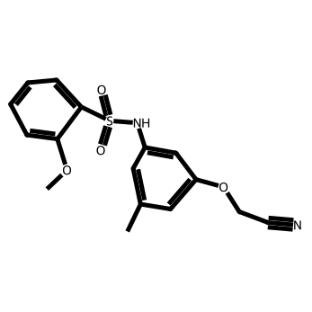 COc1ccccc1S(=O)(=O)Nc1cc(C)cc(OCC#N)c1